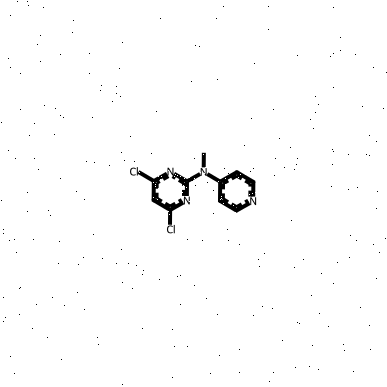 CN(c1ccncc1)c1nc(Cl)cc(Cl)n1